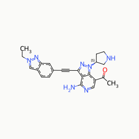 CCn1cc2ccc(C#Cc3nn([C@H]4CCNC4)c4c(C(C)=O)cnc(N)c34)cc2n1